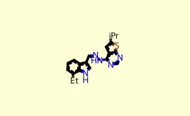 CCc1cccc2c(/C=N\Nc3ncnc4sc(C(C)C)cc34)c[nH]c12